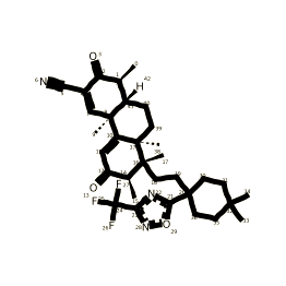 C[C@@H]1C(=O)C(C#N)=C[C@]2(C)C3=CC(=O)[C@H](C)[C@@](C)(CCC4(c5nc(C(F)(F)F)no5)CCC(C)(C)CC4)[C@]3(C)CC[C@@H]12